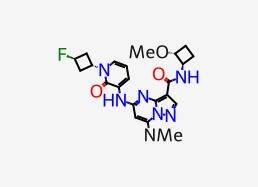 CNc1cc(Nc2cccn([C@H]3C[C@H](F)C3)c2=O)nc2c(C(=O)N[C@@H]3CC[C@H]3OC)cnn12